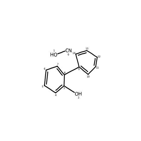 N#CO.Oc1ccccc1-c1ccccc1